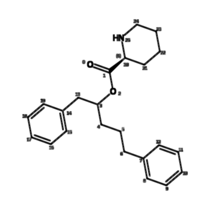 O=C(OC(CCCc1ccccc1)Cc1ccccc1)[C@@H]1CCCCN1